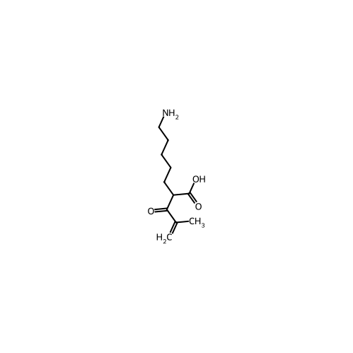 C=C(C)C(=O)C(CCCCCN)C(=O)O